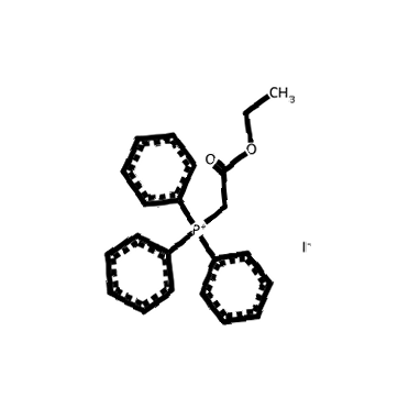 CCOC(=O)C[P+](c1ccccc1)(c1ccccc1)c1ccccc1.[I-]